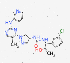 C=C(O)[C@@H](NC(=O)NC1C=NN(c2nc(Nc3cccnc3)ncc2C)C1)c1cccc(Cl)c1